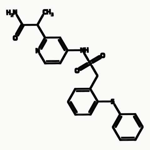 CC(C(N)=O)c1cc(NS(=O)(=O)Cc2ccccc2Sc2ccccc2)ccn1